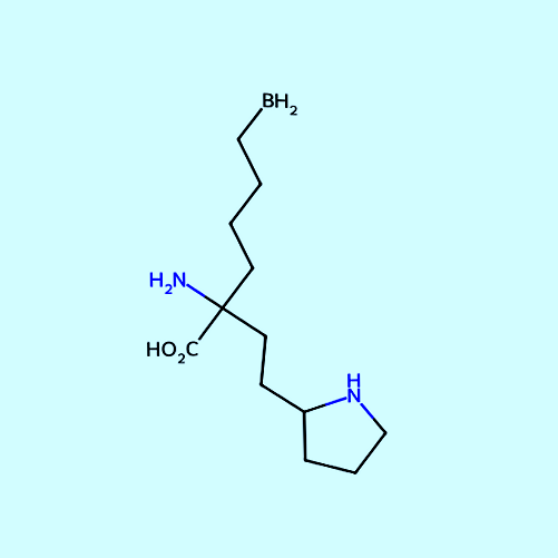 BCCCCC(N)(CCC1CCCN1)C(=O)O